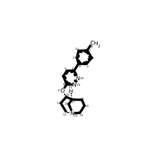 Cc1ccc(-c2ccc(O[C@H]3CC[N@@]4CCC[C@H]3C4)nn2)cc1